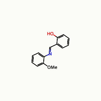 COc1ccccc1/N=C/c1ccccc1O